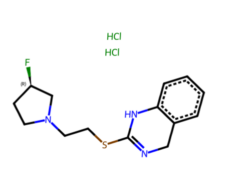 Cl.Cl.F[C@@H]1CCN(CCSC2=NCc3ccccc3N2)C1